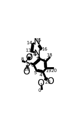 COC(=O)c1cc(S(C)(=O)=O)c(-n2ccnc2)c(C)c1C